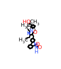 CCCc1nc(CC)n(-c2cccc(C(C)(C)O)c2)c(=O)c1Cc1ccc(-c2ccccc2-c2noc(=O)[nH]2)cc1